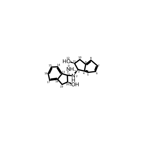 N[C@@]1(N[C@@H]2c3ccccc3C[C@@H]2O)c2ccccc2C[C@@H]1O